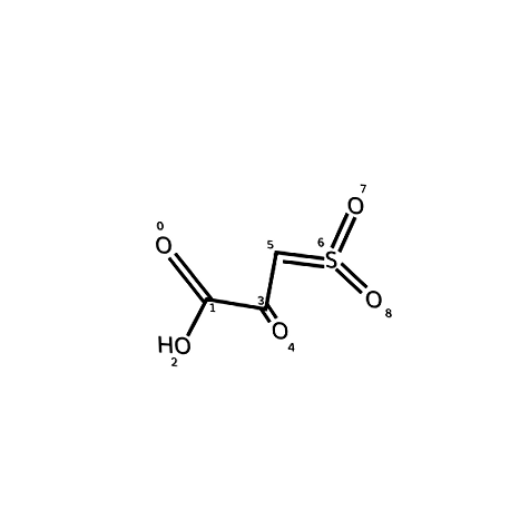 O=C(O)C(=O)C=S(=O)=O